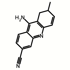 CC1C=Cc2nc3cc(C#N)ccc3c(N)c2C1